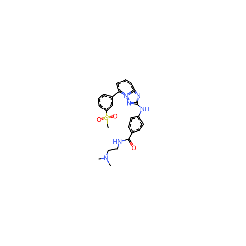 CN(C)CCNC(=O)c1ccc(Nc2nc3cccc(-c4cccc(S(C)(=O)=O)c4)n3n2)cc1